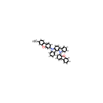 CCCCc1ccc2c(c1)oc1cc(-n3c4ccccc4c4c3ccc3c5ccccc5n(-c5cccc6c5oc5ccccc56)c34)ccc12